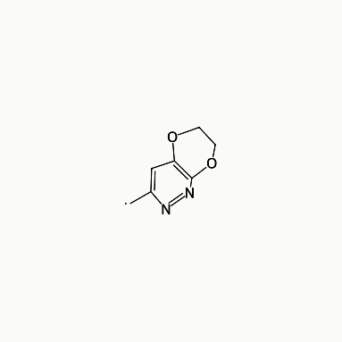 [CH2]c1cc2c(nn1)OCCO2